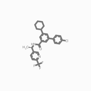 C[C@@H](NC(=O)c1cc(-c2ccc(Cl)cc2)cc(C2CCCCC2)c1)c1ccc(C(F)(F)F)nc1